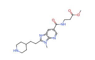 COC(=O)CCNC(=O)c1cnc2c(c1)nc(CCC1CCNCC1)n2C